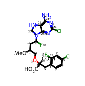 COC(COC(Cc1ccc(Cl)cc1F)(C(=O)O)C(=O)O)CC(F)N1CNc2c(N)nc(Cl)nc21